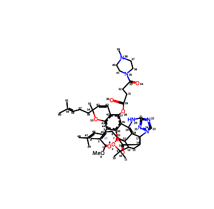 COC(=O)/C(C)=C\CC12OC(C)(C)C3CC(C1=O)C1C4=C(Nc5ncn1n5)c1c(OC(=O)CCC(=O)N5CCN(C)CC5)c5c(c(CC=C(C)C)c1OC432)OC(C)(CCC=C(C)C)C=C5